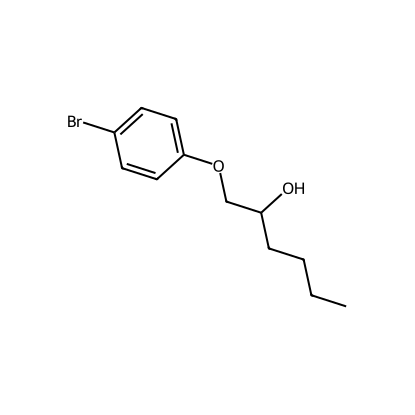 CCCCC(O)COc1ccc(Br)cc1